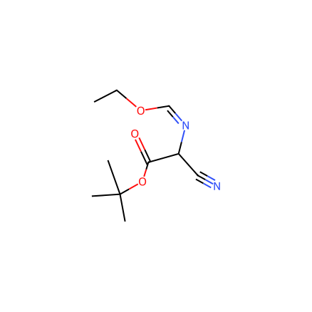 CCO/C=N\C(C#N)C(=O)OC(C)(C)C